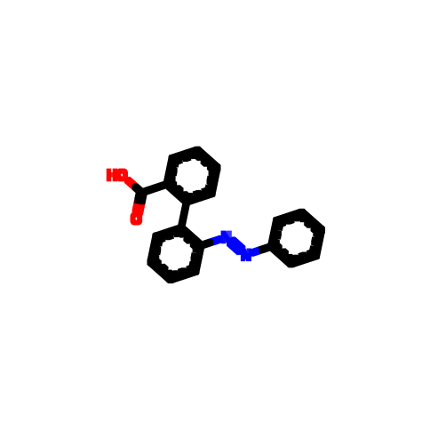 O=C(O)c1ccccc1-c1ccccc1N=Nc1ccccc1